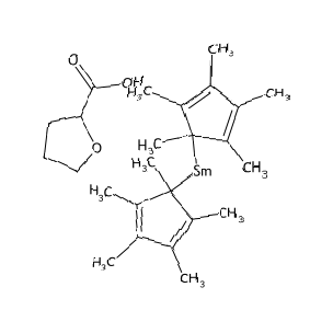 CC1=C(C)[C](C)([Sm][C]2(C)C(C)=C(C)C(C)=C2C)C(C)=C1C.O=C(O)C1CCCO1